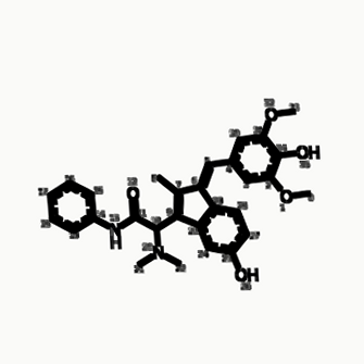 COc1cc(/C=C2/C(C)=C(C(C(=O)Nc3ccccc3)N(C)C)c3cc(O)ccc32)cc(OC)c1O